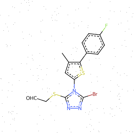 Cc1cc(-n2c(Br)nnc2SCC=O)sc1-c1ccc(F)cc1